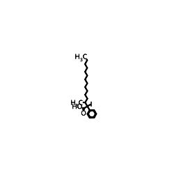 CCCCCCCCCCCCC(C)C(I)(C(=O)O)c1ccccc1